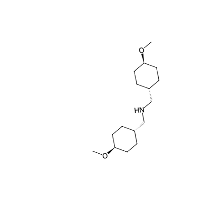 CO[C@H]1CC[C@H](CNC[C@H]2CC[C@H](OC)CC2)CC1